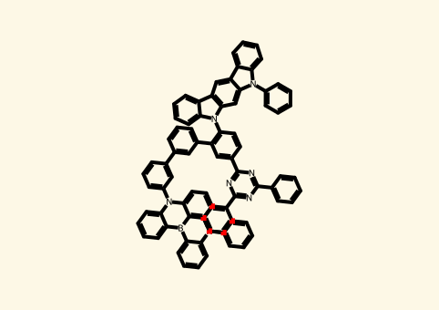 c1ccc(-c2nc(-c3ccccc3)nc(-c3ccc(-n4c5ccccc5c5cc6c7ccccc7n(-c7ccccc7)c6cc54)c(-c4cccc(-c5cccc(N6c7ccccc7B7c8ccccc8N(c8ccccc8)c8cccc6c87)c5)c4)c3)n2)cc1